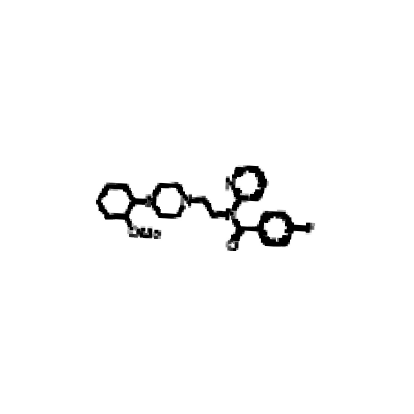 COC1CCCCC1N1CCN(CCN(C(=O)c2ccc(F)cc2)c2ccccn2)CC1